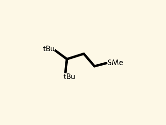 CSCCC(C(C)(C)C)C(C)(C)C